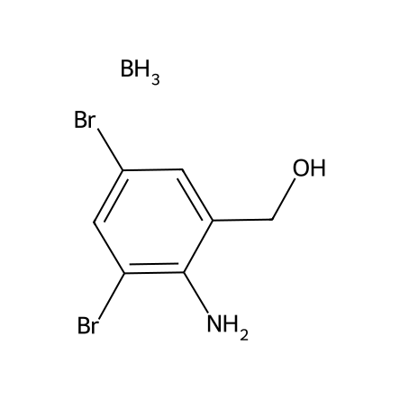 B.Nc1c(Br)cc(Br)cc1CO